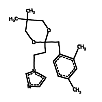 Cc1ccc(CC2(CCn3ccnc3)OCC(C)(C)CO2)c(C)c1